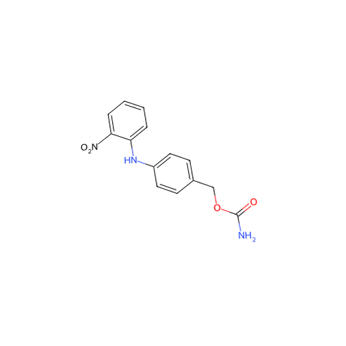 NC(=O)OCc1ccc(Nc2ccccc2[N+](=O)[O-])cc1